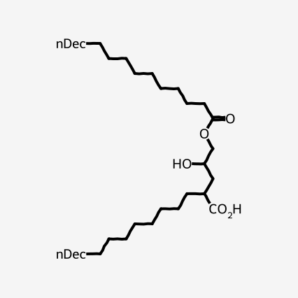 CCCCCCCCCCCCCCCCCCCC(=O)OCC(O)CC(CCCCCCCCCCCCCCCCCC)C(=O)O